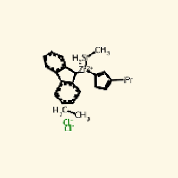 CC.C[SiH2][Zr+2]([C]1=CC(C(C)C)=CC1)[CH]1c2ccccc2-c2ccccc21.[Cl-].[Cl-]